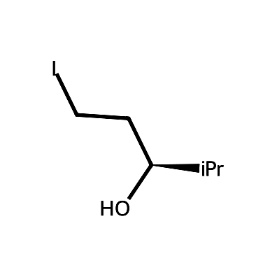 CC(C)[C@@H](O)CCI